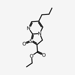 CCCC1=CN2CC(C(=O)OCC)=S(=O)=C2N=C1